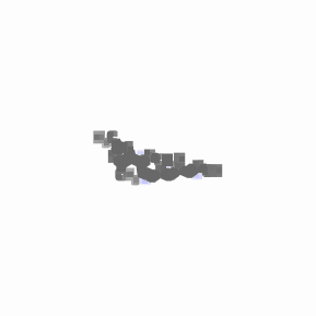 C\N=C(/C=C\N=C\N/C=N/O)c1sc(C)nc1C